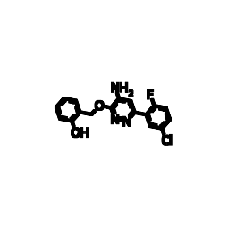 Nc1cc(-c2cc(Cl)ccc2F)nnc1OCc1ccccc1O